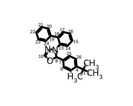 CC(C)(C)c1ccc(C2OC=NN2c2ccccc2-c2ccccc2)cc1